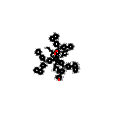 CCCCC(CC)Cn1c2cc(N(c3ccc(-c4ccccc4)cc3)c3ccc(-c4cccc5ccccc45)cc3)ccc2c2c1c1c3ccc(N(c4ccc(-c5ccccc5)cc4)c4ccc(-c5cccc6ccccc56)cc4)cc3n(CC(CC)CCCC)c1c1c3ccc(N(c4ccc(-c5ccccc5)cc4)c4ccc(-c5cccc6ccccc56)cc4)cc3n(CC(CC)CCCC)c21